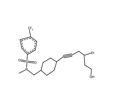 CCN(CC#CC1CCC(CN(C)S(=O)(=O)c2ccc(C(F)(F)F)cc2)CC1)CCO